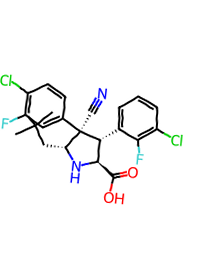 CC(C)(C)C[C@H]1N[C@H](C(=O)O)[C@@H](c2cccc(Cl)c2F)[C@]1(C#N)c1ccc(Cl)c(F)c1